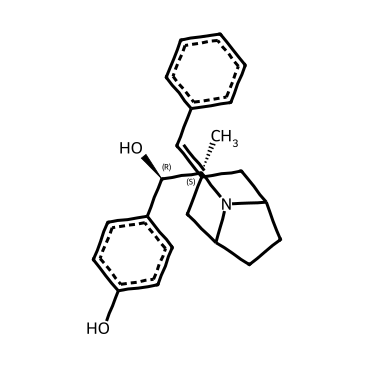 C[C@@H]([C@H](O)c1ccc(O)cc1)N1C2CCC1CC(=Cc1ccccc1)C2